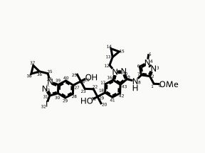 COCc1nn(C)cc1Nc1nn(CC2CC2)c2cc(C(C)(O)CCC(C)(O)c3ccc4c(I)nn(CC5CC5)c4c3)ccc12